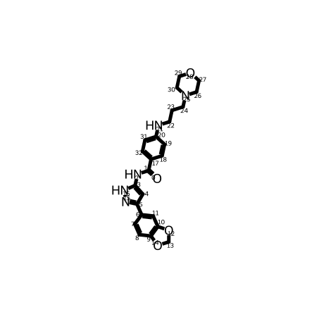 O=C(Nc1cc(-c2ccc3c(c2)OCO3)n[nH]1)c1ccc(NCCCN2CCOCC2)cc1